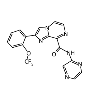 O=C(Nc1cnccn1)c1nccn2cc(-c3ccccc3OC(F)(F)F)nc12